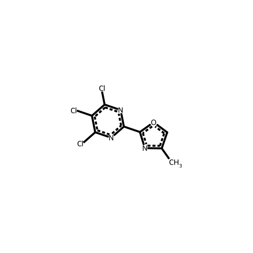 Cc1coc(-c2nc(Cl)c(Cl)c(Cl)n2)n1